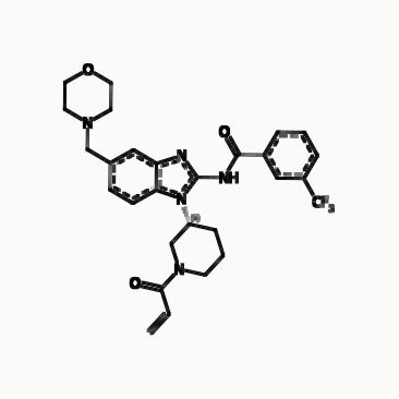 C=CC(=O)N1CCC[C@@H](n2c(NC(=O)c3cccc(C(F)(F)F)c3)nc3cc(CN4CCOCC4)ccc32)C1